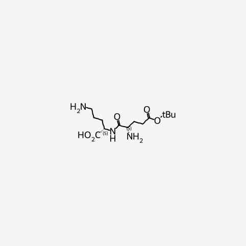 CC(C)(C)OC(=O)CC[C@H](N)C(=O)N[C@@H](CCCN)C(=O)O